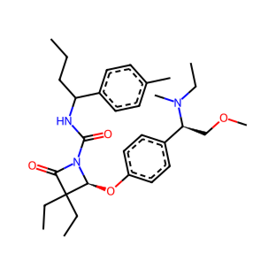 CCCC(NC(=O)N1C(=O)C(CC)(CC)[C@@H]1Oc1ccc([C@H](COC)N(C)CC)cc1)c1ccc(C)cc1